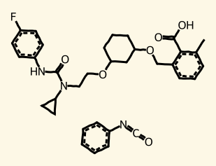 Cc1cccc(COC2CCCC(OCCN(C(=O)Nc3ccc(F)cc3)C3CC3)C2)c1C(=O)O.O=C=Nc1ccccc1